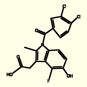 Cc1c(CC(=O)O)c2c(F)c(O)ccc2n1C(=O)c1ccc(Cl)c(Cl)c1